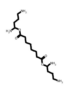 NCCCC(N)OC(=O)CCCCCCC(=O)OC(N)CCCN